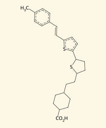 Cc1ccc(/C=C/c2ccc(C3CCC(CCC4CCC(C(=O)O)CC4)S3)s2)cc1